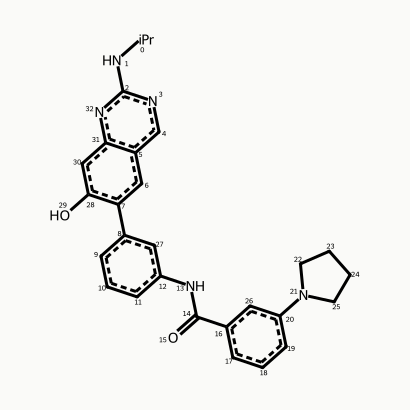 CC(C)Nc1ncc2cc(-c3cccc(NC(=O)c4cccc(N5CCCC5)c4)c3)c(O)cc2n1